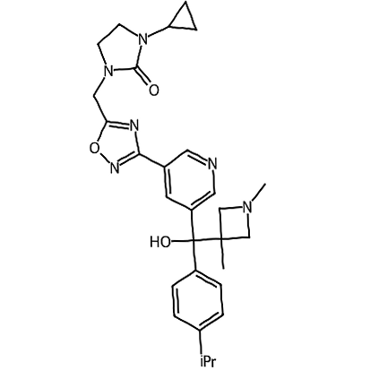 CC(C)c1ccc(C(O)(c2cncc(-c3noc(CN4CCN(C5CC5)C4=O)n3)c2)C2(C)CN(C)C2)cc1